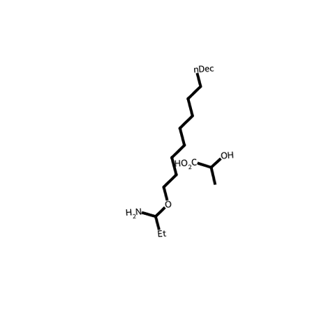 CC(O)C(=O)O.CCCCCCCCCCCCCCCCCCOC(N)CC